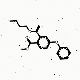 C=C(OCCCC)c1cc(Oc2ccccc2)ccc1C(=O)OC